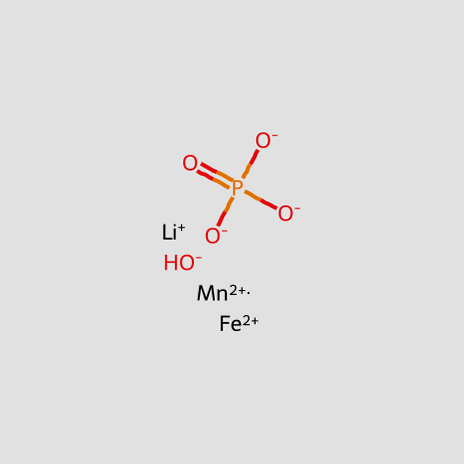 O=P([O-])([O-])[O-].[Fe+2].[Li+].[Mn+2].[OH-]